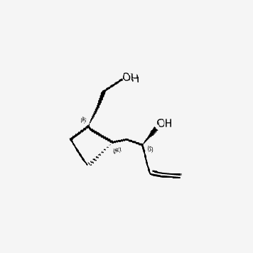 C=C[C@H](O)[C@@H]1CC[C@H]1CO